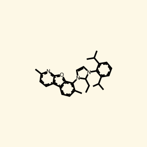 CCC1N(c2c(C(C)C)cccc2C(C)C)C=CN1c1c(C)ccc2c1oc1nc(C)ccc12